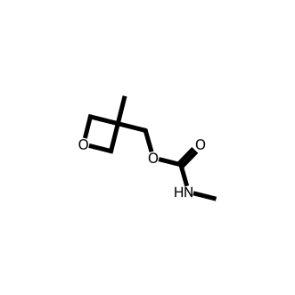 CNC(=O)OCC1(C)COC1